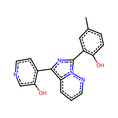 Cc1ccc(O)c(-c2nc(-c3ccncc3O)c3cccnn23)c1